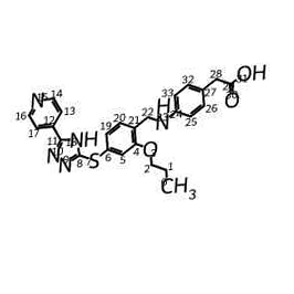 CCCOc1cc(Sc2nnc(-c3ccncc3)[nH]2)ccc1CNc1ccc(CC(=O)O)cc1